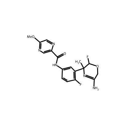 COc1cnc(C(=O)Nc2ccc(F)c(C3(C)N=C(N)COC3F)c2)cn1